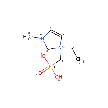 CC[N+]1(CP(=O)(O)O)C=CN(C)C1